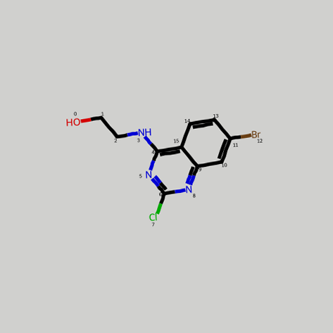 OCCNc1nc(Cl)nc2cc(Br)ccc12